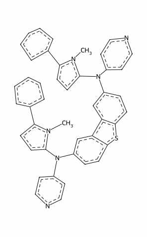 Cn1c(-c2ccccc2)ccc1N(c1ccncc1)c1ccc2sc3ccc(N(c4ccncc4)c4ccc(-c5ccccc5)n4C)cc3c2c1